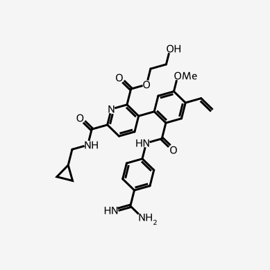 C=Cc1cc(C(=O)Nc2ccc(C(=N)N)cc2)c(-c2ccc(C(=O)NCC3CC3)nc2C(=O)OCCO)cc1OC